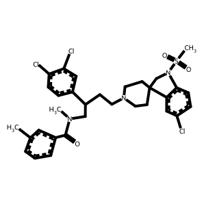 Cc1cccc(C(=O)N(C)CC(CCN2CCC3(CC2)CN(S(C)(=O)=O)c2ccc(Cl)cc23)c2ccc(Cl)c(Cl)c2)c1